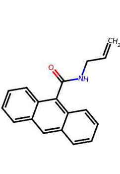 C=CCNC(=O)c1c2ccccc2cc2ccccc12